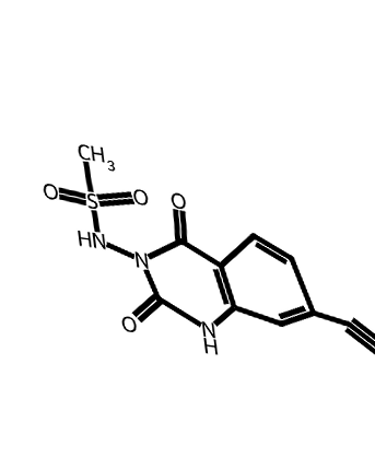 CS(=O)(=O)Nn1c(=O)[nH]c2cc(C#N)ccc2c1=O